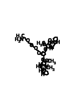 C=C(N)CCOCCOCCOCCO[C@@H]1C=C(COC2=C(OC)C[C@H]3C(=O)N4C(C=N[C@H]3C2)C[C@@H]2CCCCC24)CC(COC2=C(OC)C[C@@H]3C(=C)N4C5CCCC[C@@H]5C[C@H]4CN[C@@H]3C2)C1